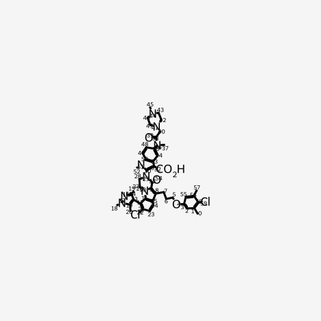 Cc1cc(OCCCc2c3n(c4c(-c5c(C)nn(C)c5C)c(Cl)ccc24)[C@H](C)CN(c2c(C(=O)O)c4cc(N(C)C(=O)CN5CCN(C)CC5)ccc4n2C)C3=O)cc(C)c1Cl